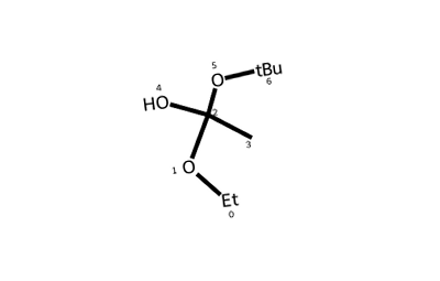 CCOC(C)(O)OC(C)(C)C